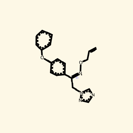 C=CCO/N=C(/Cn1cncn1)c1ccc(Oc2ccccc2)cc1